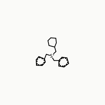 c1ccc(C[S+](Cc2ccccc2)CC2CCCCC2)cc1